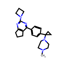 CN1CCN(C2(c3ccc(-c4nc(N5CCC5)nc5c4CCC5)cc3)CC2)CC1